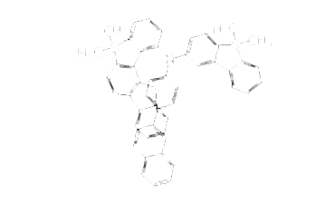 CS1(C)c2ccccc2-c2cc(N(c3ccc(-c4ccc5ccccc5c4)cc3)c3cccc4c3-c3c(ccc5c3sc3ccccc35)S4(C)C)ccc21